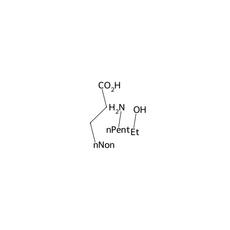 CCCCCCCCCCCC(=O)O.CCCCCN.CCO